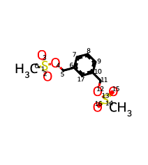 CS(=O)(=O)OCc1cccc(COS(C)(=O)=O)c1